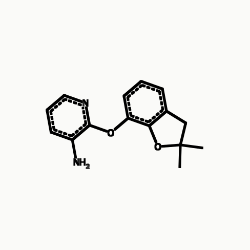 CC1(C)Cc2cccc(Oc3ncccc3N)c2O1